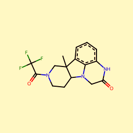 CC12CN(C(=O)C(F)(F)F)CCC1N1CC(=O)Nc3cccc2c31